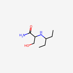 CCC(CC)NC(CO)C(N)=O